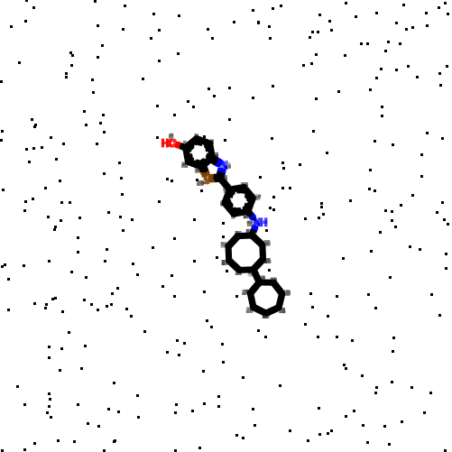 Oc1ccc2nc(-c3ccc(NC4CCCCC(C5CCCCCC5)CC4)cc3)sc2c1